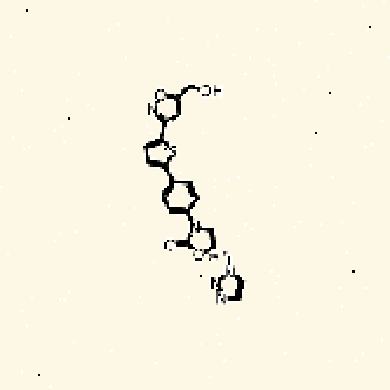 O=C1O[C@@H](Cn2ccnn2)CN1c1ccc(-c2ccc(C3=NOC(CO)C3)s2)cc1